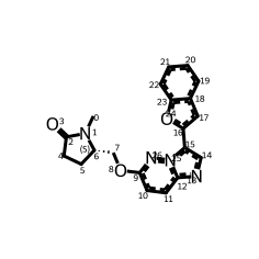 CN1C(=O)CC[C@H]1COc1ccc2ncc(-c3cc4ccccc4o3)n2n1